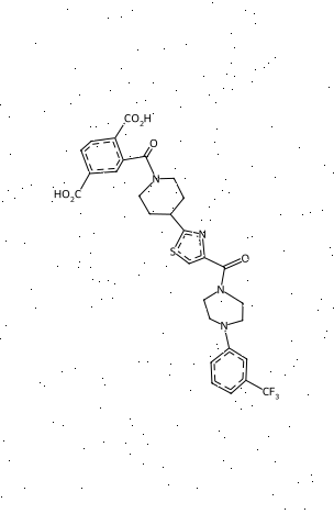 O=C(O)c1ccc(C(=O)O)c(C(=O)N2CCC(c3nc(C(=O)N4CCN(c5cccc(C(F)(F)F)c5)CC4)cs3)CC2)c1